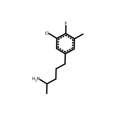 Cc1cc(CCCC(C)N)cc(Cl)c1F